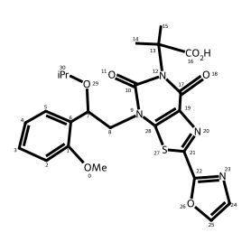 COc1ccccc1C(Cn1c(=O)n(C(C)(C)C(=O)O)c(=O)c2nc(-c3ncco3)sc21)OC(C)C